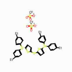 CCc1ccc([S+](c2ccc(CC)cc2)c2ccc(Sc3ccc([S+](c4ccc(CC)cc4)c4ccc(CC)cc4)s3)s2)cc1.O=S(=O)([O-])C(F)(F)F.O=S(=O)([O-])C(F)(F)F